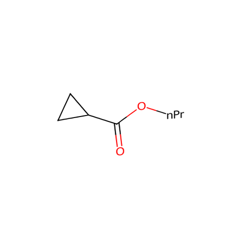 CCCOC(=O)C1CC1